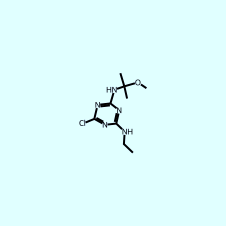 CCNc1nc(Cl)nc(NC(C)(C)OC)n1